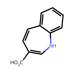 O=C(O)C1=CNc2ccccc2C=C1